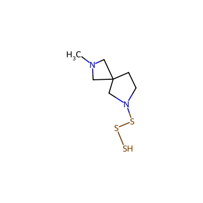 CN1CC2(CCN(SSS)C2)C1